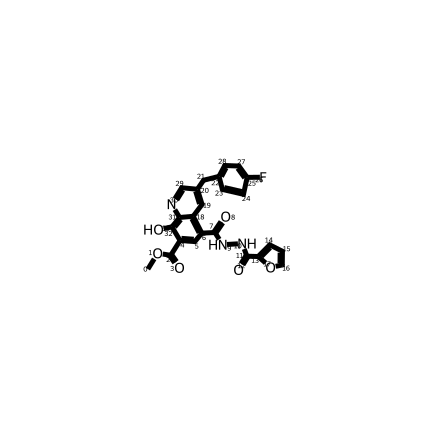 COC(=O)c1cc(C(=O)NNC(=O)c2ccco2)c2cc(Cc3ccc(F)cc3)cnc2c1O